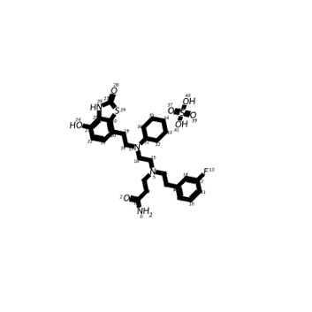 NC(=O)CCN(CCc1cccc(F)c1)CCN(CCc1ccc(O)c2[nH]c(=O)sc12)C1CCCCC1.O=S(=O)(O)O